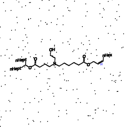 CCCCCC/C=C\COC(=O)CCCCCN(CCO)CCCC(=O)OC(CCCCCCC)CCCCCCC